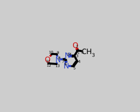 CC(=O)c1ccnc(N2CCOCC2)n1